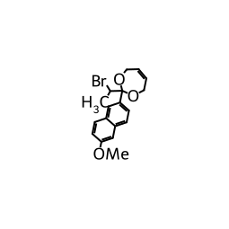 COc1ccc2cc(C3(C(C)Br)OCC=CCO3)ccc2c1